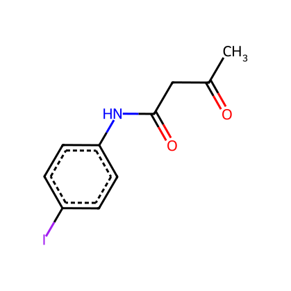 CC(=O)CC(=O)Nc1ccc(I)cc1